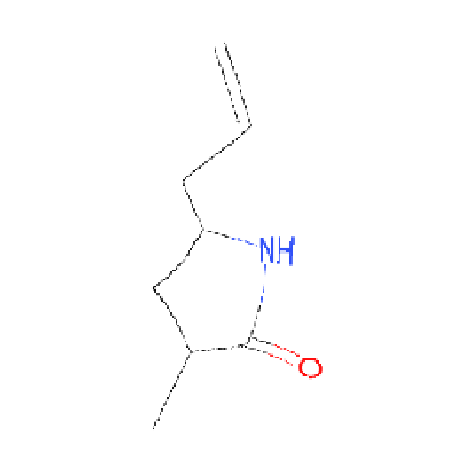 C=CCC1CC(C)C(=O)N1